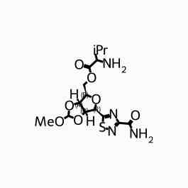 COC1O[C@@H]2[C@H](O1)[C@@H](COC(=O)C(N)C(C)C)O[C@H]2c1nc(C(N)=O)ns1